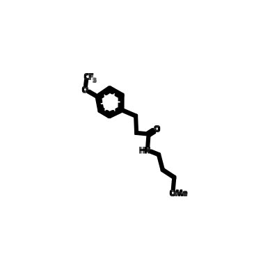 COCCCNC(=O)CCc1ccc(OC(F)(F)F)cc1